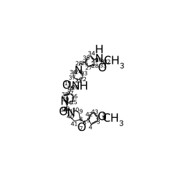 COc1ccc(C(=O)C2CCN(C(=O)c3ccc(C(=O)NC4CCN(Cc5ccc(NC(C)=O)cc5)CC4)cn3)CC2)cc1